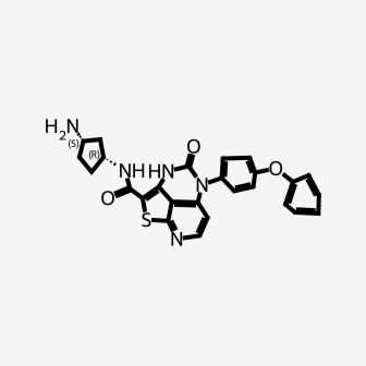 N[C@H]1CC[C@@H](NC(=O)c2sc3nccc4c3c2NC(=O)N4c2ccc(Oc3ccccc3)cc2)C1